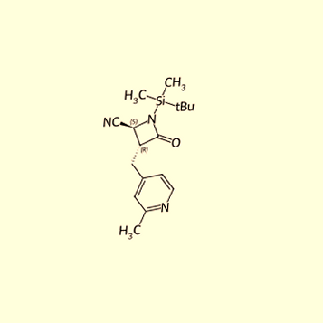 Cc1cc(C[C@H]2C(=O)N([Si](C)(C)C(C)(C)C)[C@@H]2C#N)ccn1